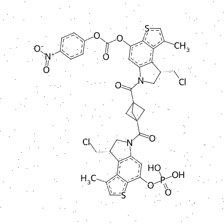 Cc1csc2c(OC(=O)Oc3ccc([N+](=O)[O-])cc3)cc3c(c12)[C@H](CCl)CN3C(=O)C12CC(C(=O)N3C[C@@H](CCl)c4c3cc(OP(=O)(O)O)c3scc(C)c43)(C1)C2